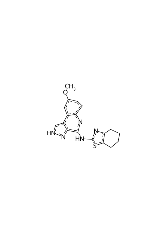 COc1ccc2nc(Nc3nc4c(s3)CCCC4)c3n[nH]cc3c2c1